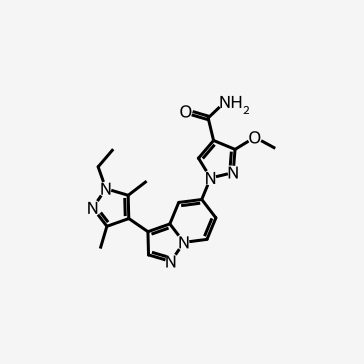 CCn1nc(C)c(-c2cnn3ccc(-n4cc(C(N)=O)c(OC)n4)cc23)c1C